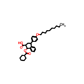 CCCCCCCCCCOc1ccc(C2CC(C(=O)O)C(OC(=O)C3CCCCC3)c3ccccc32)cc1